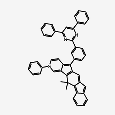 CC1(C)C2=c3ccccc3=CC2=Cc2c(-c3cccc(-c4nc(-c5ccccc5)cc(-c5ccccc5)n4)c3)c3ccn(-c4ccccc4)cc-3c21